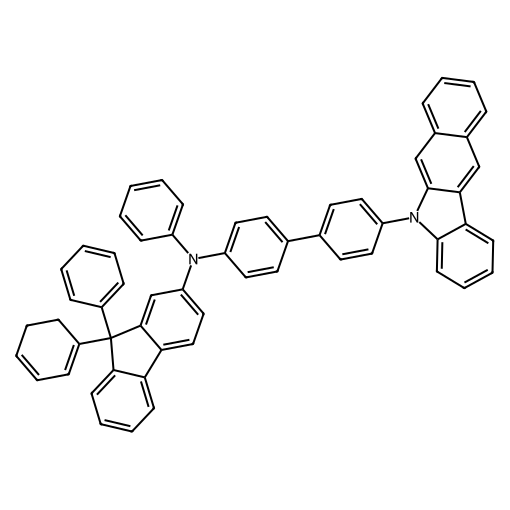 C1=CCCC(C2(c3ccccc3)c3ccccc3-c3ccc(N(c4ccccc4)c4ccc(-c5ccc(-n6c7ccccc7c7cc8ccccc8cc76)cc5)cc4)cc32)=C1